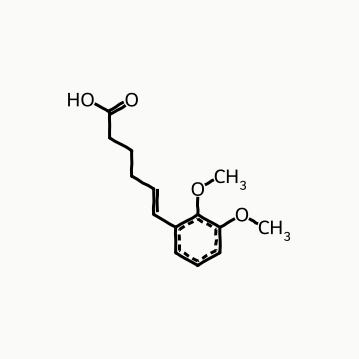 COc1cccc(C=CCCCC(=O)O)c1OC